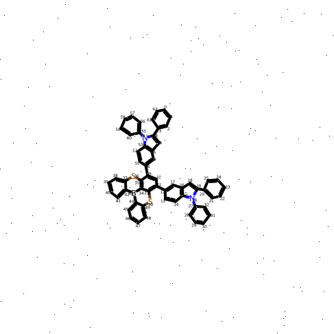 c1ccc(-c2cc3cc(-c4cc(-c5ccc6c(c5)cc(-c5ccccc5)n6-c5ccccc5)c5c6c4Sc4ccccc4B6c4ccccc4S5)ccc3n2-c2ccccc2)cc1